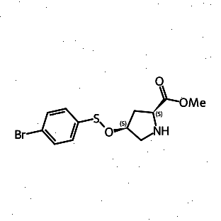 COC(=O)[C@@H]1C[C@H](OSc2ccc(Br)cc2)CN1